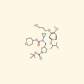 COCCCOc1cc(OC(C[C@@H]2CN(C(=O)OC(C)(C)C)C[C@H]2CN(C(=O)OC2CCOCC2)C2CC2)C(C)C)ccc1OC